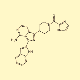 Nc1nccn2c(C3CCN(C(=O)c4ncc[nH]4)CC3)nc(-c3cc4ccccc4[nH]3)c12